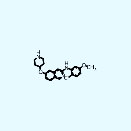 COc1ccc(Cl)c(Nc2cc3cc(OC4CCNCC4)ccc3cn2)c1